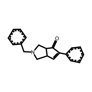 O=C1C(c2ccccc2)=CC2CN(Cc3ccccc3)CC12